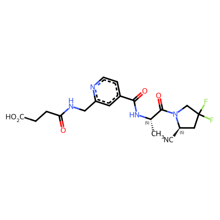 C[C@H](NC(=O)c1ccnc(CNC(=O)CCC(=O)O)c1)C(=O)N1CC(F)(F)C[C@H]1C#N